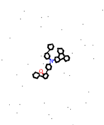 c1ccc(-c2cccc(N(c3ccc(-c4cccc5c4oc4ccccc45)cc3)c3ccc4c5ccccc5c5ccccc5c4c3)c2)cc1